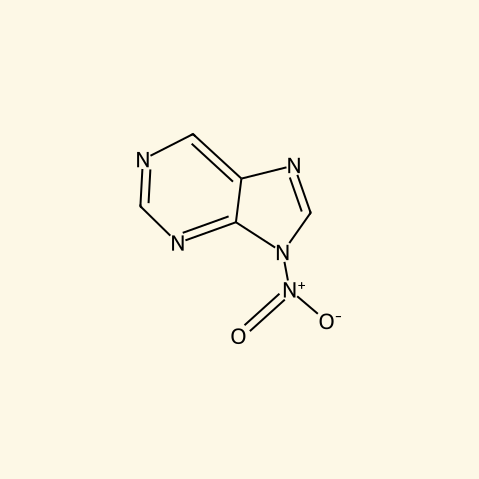 O=[N+]([O-])n1cnc2cncnc21